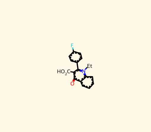 CCn1c(-c2ccc(F)cc2)c(C(=O)O)c(=O)c2ccccc21